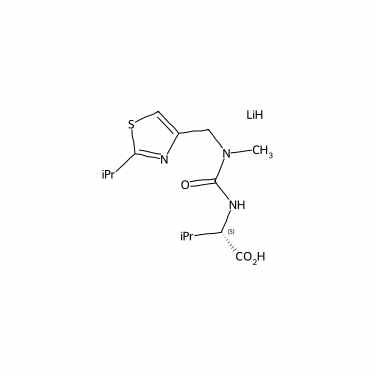 CC(C)c1nc(CN(C)C(=O)N[C@H](C(=O)O)C(C)C)cs1.[LiH]